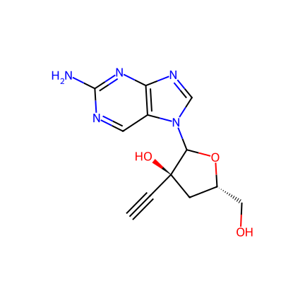 C#C[C@@]1(O)C[C@@H](CO)OC1n1cnc2nc(N)ncc21